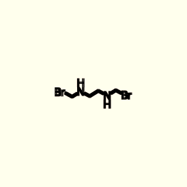 BrCNCCNCBr